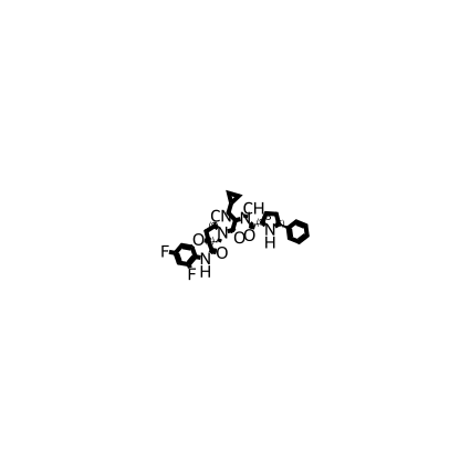 CN(C(=O)[C@@H]1CC[C@@H](c2ccccc2)N1)C(CC1CC1)C(=O)N1C[C@@]2(C[C@H]1C#N)Oc1cc(F)cc(F)c1NC2=O